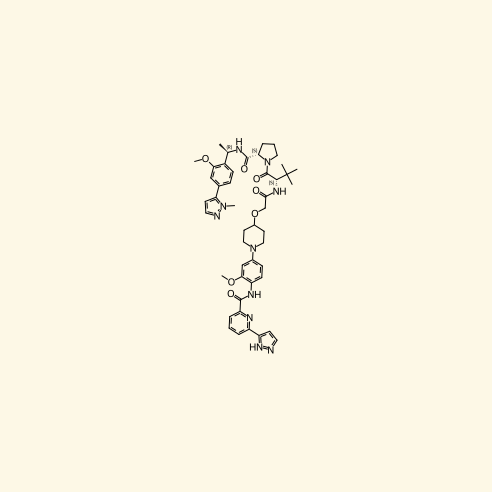 COc1cc(N2CCC(OCC(=O)N[C@H](C(=O)N3CCC[C@H]3C(=O)N[C@H](C)c3ccc(-c4ccnn4C)cc3OC)C(C)(C)C)CC2)ccc1NC(=O)c1cccc(-c2ccn[nH]2)n1